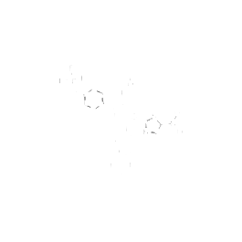 COCOC(C[C@@H]1Oc2nc([N+](=O)[O-])cn2C[C@@H]1OC1CCCCO1)c1ccc(OC(F)(F)F)cc1